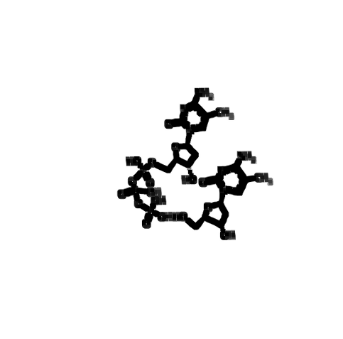 Cc1cn([C@H]2C[C@H](O)[C@@H](CO)O2)c(=O)nc1N.Cc1cn([C@H]2C[C@H](O)[C@@H](COP(=O)(O)OP(=O)(O)OP(=O)(O)O)O2)c(=O)nc1N